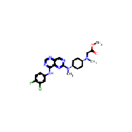 COC(=O)CN(C)[C@H]1CC[C@H](N(C)c2ncc3ncnc(Nc4ccc(F)c(Cl)c4)c3n2)CC1